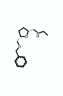 CCNC[C@H]1CC[C@@H](COCc2ccccc2)O1